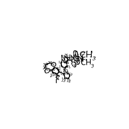 CN(C)S(=O)(=O)NC(=O)c1cnn2ccc(N3CCCC3c3cc4c(cc3F)OCCCO4)cc12